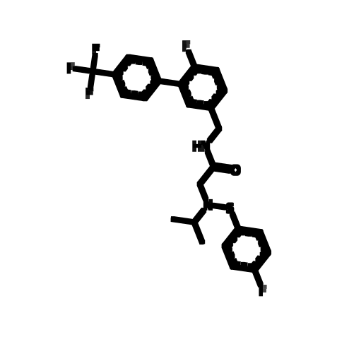 CC(C)N(CC(=O)NCc1ccc(F)c(-c2ccc(C(F)(F)F)cc2)c1)Sc1ccc(F)cc1